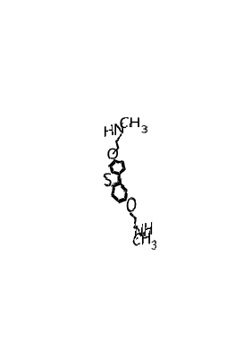 CNCCCOc1ccc2c(c1)sc1ccc(OCCCNC)cc12